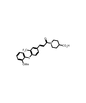 COc1ccccc1Sc1ccc(/C=C/C(=O)N2CCC(C(=O)O)CC2)cc1C(F)(F)F